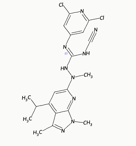 Cc1nn(C)c2nc(N(C)N/C(=N/c3cc(Cl)nc(Cl)c3)NC#N)cc(C(C)C)c12